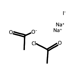 CC(=O)Cl.CC(=O)[O-].[I-].[Na+].[Na+]